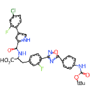 CC(C)(C)OC(=O)Nc1ccc(-c2nc(-c3ccc(CC(NC(=O)c4cc(-c5ccc(Cl)cc5F)c[nH]4)C(=O)O)cc3F)no2)cc1